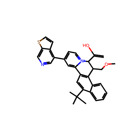 C=C(O)C1C(COC)c2c(cc(C(C)(C)C)c3ccccc23)-c2cc(-c3cncc4sccc34)cc[n+]21